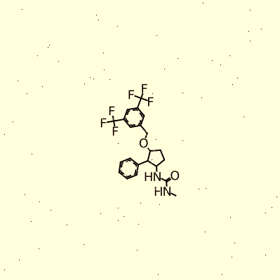 CNC(=O)NC1CCC(OCc2cc(C(F)(F)F)cc(C(F)(F)F)c2)C1c1ccccc1